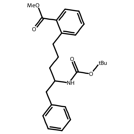 COC(=O)c1ccccc1CCCC(Cc1ccccc1)NC(=O)OC(C)(C)C